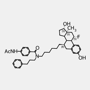 CC(=O)Nc1ccc(C(=O)N(CCCCCC[C@@H]2Cc3cc(O)ccc3C3C2C2CC[C@H](O)[C@@]2(C)C[C@@H]3F)CCCc2ccccc2)cc1